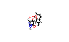 Cc1ccc2cc(C)c(-c3c(O)c(C)nn(C)c3=O)c-2o1